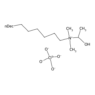 CCCCCCCCCCCCCCCC[N+](C)(C)C(C)O.[O-][Cl+3]([O-])([O-])[O-]